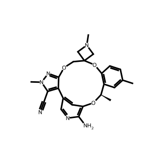 Cc1ccc2c(c1)[C@@H](C)Oc1cc(cnc1N)-c1c(nn(C)c1C#N)OCC1(CN(C)C1)O2